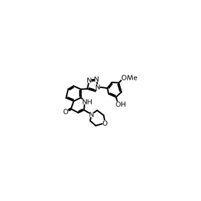 COc1cc(O)cc(-n2cc(-c3cccc4c(=O)cc(N5CCOCC5)[nH]c34)nn2)c1